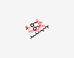 CC(C)=CCC/C(C)=C/CC(O)/C=C(\C)CCC=C(C)C.COC(C)=O.O=C(O)/C=C/c1ccccc1.O=C(O)C(=O)Cc1ccc(O)cc1